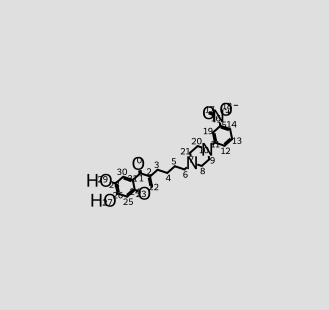 O=c1c(CCCCN2CCN(c3cccc([N+](=O)[O-])c3)CC2)coc2cc(O)c(O)cc12